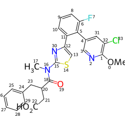 COc1ncc(-c2c(F)cccc2-c2csc(N(C)C(=O)C(CC(=O)O)Cc3ccccc3)n2)cc1Cl